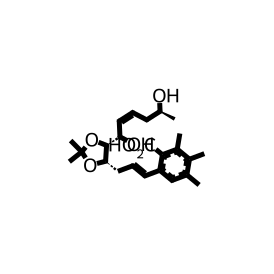 Cc1cc(/C=C/C[C@@H]2OC(C)(C)O[C@@H]2C(O)/C=C\C[C@H](C)O)c(C(=O)O)c(C)c1C